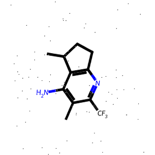 Cc1c(C(F)(F)F)nc2c(c1N)C(C)CC2